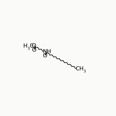 CCCCCCCCCCCCCCCCCC(=O)NCCCCC(=O)OC